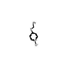 CC(C)CSc1cc[n+]([O-])cc1